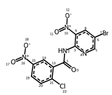 O=C(Nc1ncc(Br)cc1[N+](=O)[O-])c1cc([N+](=O)[O-])ccc1Cl